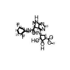 COC(=O)[C@@H]1C[C@@H](Nc2ncnc3[nH]nc(C(=O)NCc4cc(F)ccc4F)c23)[C@@H](O)[C@H]1O